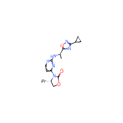 CC(Nc1nccc(N2C(=O)OC[C@@H]2C(C)C)n1)c1nc(C2CC2)no1